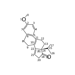 COc1ccc2c(c1)CCC1=C2CC[C@]2(C(C)C)C(=O)CC=C12